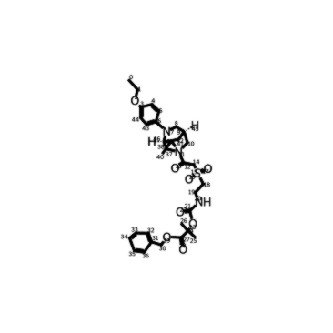 CCOc1ccc(N2C[C@H]3CN(C(=O)CS(=O)(=O)CCNC(=O)OC(C)(C)C(=O)OCc4ccccc4)C[C@@H]2C(C)(C)C3)cc1